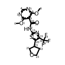 COc1ncnc(OC)c1C(=O)Nc1nc(C(F)(F)F)c(C2CCOC2)s1